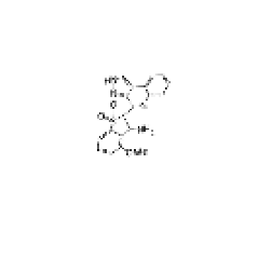 COc1cccc2c1C(N)C(c1nc3ccccc3c3c[nH]nc13)S2(=O)=O